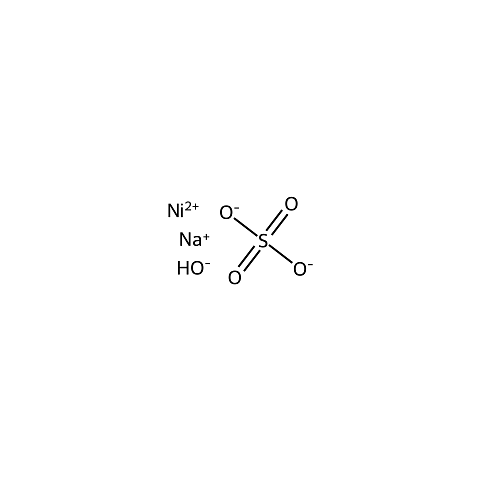 O=S(=O)([O-])[O-].[Na+].[Ni+2].[OH-]